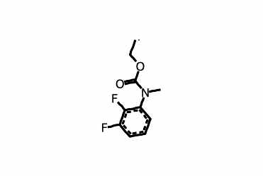 [CH2]COC(=O)N(C)c1cccc(F)c1F